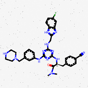 CN(C)C(=O)[C@H](Cc1ccc(C#N)cc1)Nc1nc(NCc2nc3cc(F)ccc3[nH]2)nc(Nc2cccc(CN3CCNCC3)c2)n1